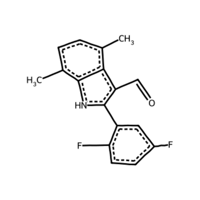 Cc1ccc(C)c2c(C=O)c(-c3cc(F)ccc3F)[nH]c12